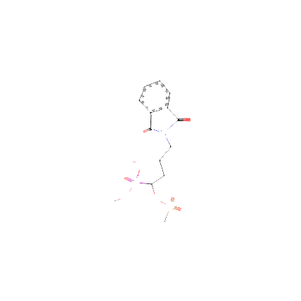 CCOP(=O)(OCC)C(CCCN1C(=O)c2ccccc2C1=O)OS(C)(=O)=O